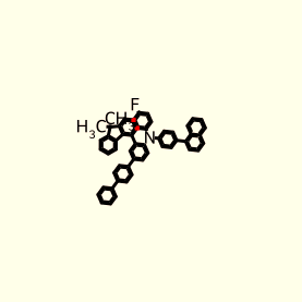 CC1(C)c2ccccc2-c2c(-c3cc(-c4ccc(-c5ccccc5)cc4)ccc3N(c3ccc(F)cc3)c3ccc(-c4cccc5ccccc45)cc3)cccc21